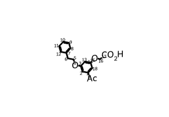 CC(=O)c1cc(OCCc2ccccc2)cc(OCC(=O)O)c1